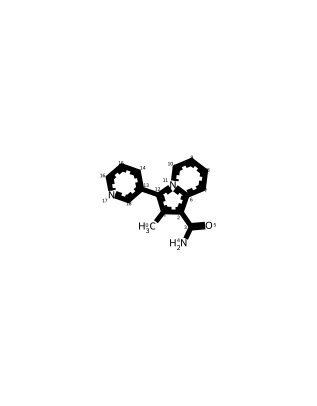 Cc1c(C(N)=O)c2ccccn2c1-c1cccnc1